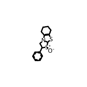 [O-][S+]1C(c2ccccc2)CN2C3=C(CCCC3)SC21